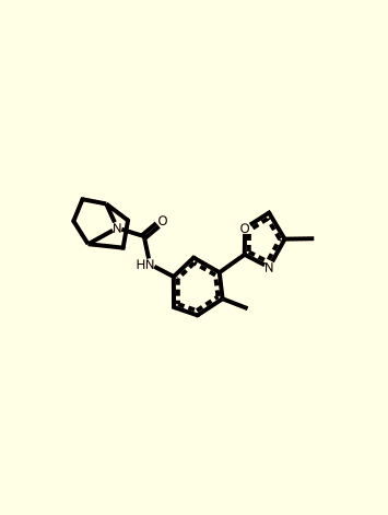 Cc1coc(-c2cc(NC(=O)N3C4CCC3CC4)ccc2C)n1